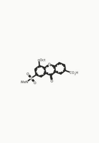 CCCCCCCCc1cc(S(=O)(=O)NC)cc2c(=O)c3cc(C(=O)O)ccc3oc12